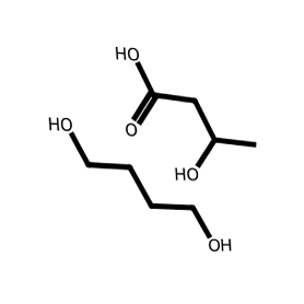 CC(O)CC(=O)O.OCCCCO